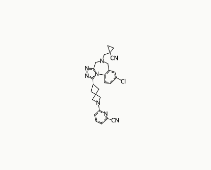 N#Cc1cccc(N2CC3(CC(c4nnc5n4-c4ccc(Cl)cc4CN(CC4(C#N)CC4)C5)C3)C2)n1